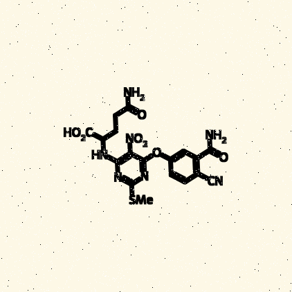 CSc1nc(NC(CCC(N)=O)C(=O)O)c([N+](=O)[O-])c(Oc2ccc(C#N)c(C(N)=O)c2)n1